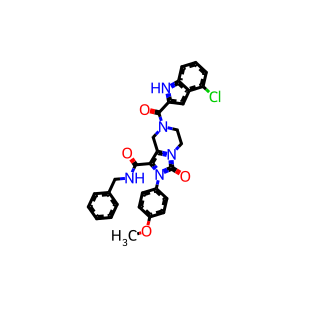 COc1ccc(-n2c(C(=O)NCc3ccccc3)c3n(c2=O)CCN(C(=O)c2cc4c(Cl)cccc4[nH]2)C3)cc1